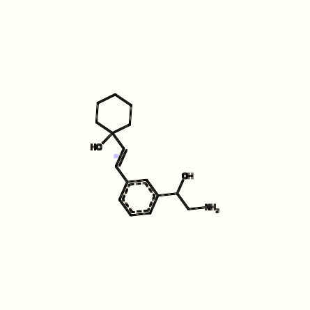 NCC(O)c1cccc(/C=C/C2(O)CCCCC2)c1